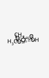 CCOC(C)Oc1ccc(CCC(=O)O)cc1